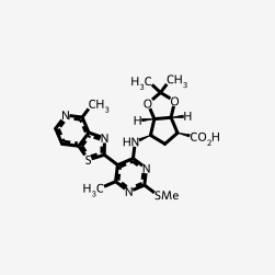 CSc1nc(C)c(-c2nc3c(C)nccc3s2)c(N[C@@H]2C[C@H](C(=O)O)[C@H]3OC(C)(C)O[C@H]32)n1